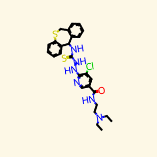 CCN(CC)CCNC(=O)c1cnc(NNC(=S)NC2c3ccccc3CSc3ccccc32)c(Cl)c1